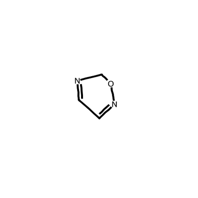 C1=NCON=C1